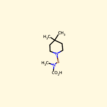 CN(SN1CCC(C)(C)CC1)C(=O)O